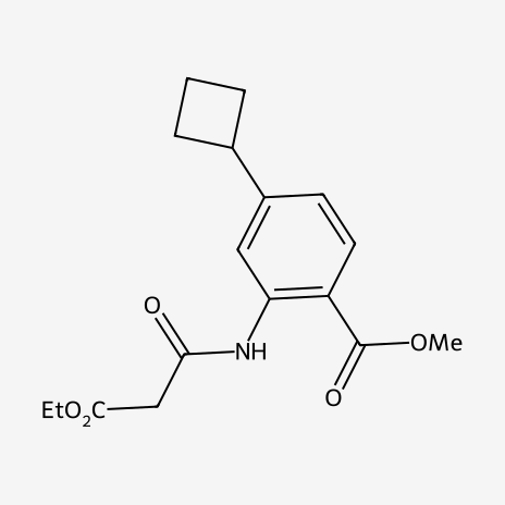 CCOC(=O)CC(=O)Nc1cc(C2CCC2)ccc1C(=O)OC